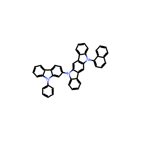 c1ccc(-n2c3ccccc3c3ccc(-n4c5ccccc5c5cc6c(cc54)c4ccccc4n6-c4cccc5ccccc45)cc32)cc1